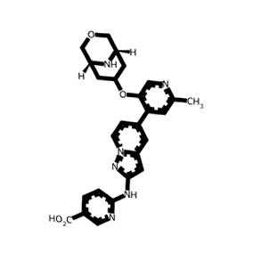 Cc1cc(-c2ccn3nc(Nc4ccc(C(=O)O)cn4)cc3c2)c(OC2C[C@H]3COC[C@@H](C2)N3)cn1